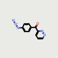 [N-]=[N+]=Nc1ccc(C(=O)c2cccnn2)cc1